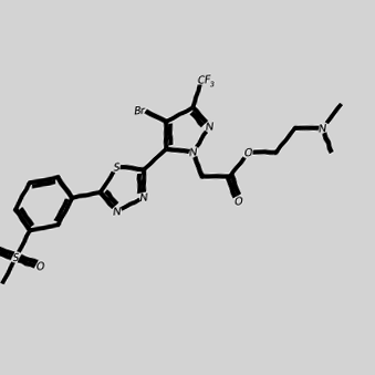 CN(C)CCOC(=O)Cn1nc(C(F)(F)F)c(Br)c1-c1nnc(-c2cccc(S(C)(=O)=O)c2)s1